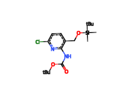 CC(C)(C)OC(=O)Nc1nc(Cl)ccc1CO[Si](C)(C)C(C)(C)C